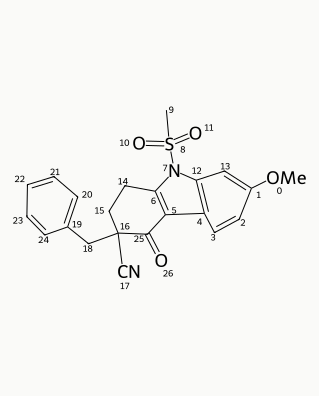 COc1ccc2c3c(n(S(C)(=O)=O)c2c1)CCC(C#N)(Cc1ccccc1)C3=O